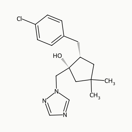 CC1(C)C[C@@H](Cc2ccc(Cl)cc2)[C@](O)(Cn2cncn2)C1